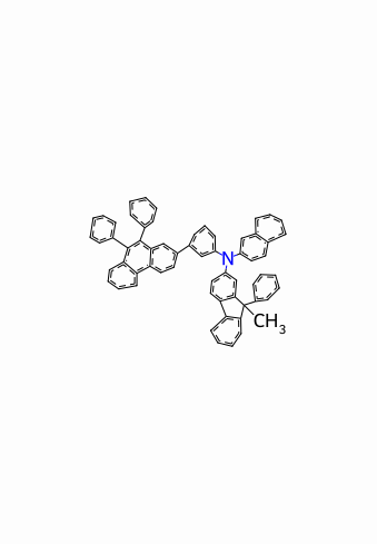 CC1(c2ccccc2)c2ccccc2-c2ccc(N(c3cccc(-c4ccc5c(c4)c(-c4ccccc4)c(-c4ccccc4)c4ccccc45)c3)c3ccc4ccccc4c3)cc21